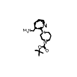 CC(C)(C)OC(=O)N1CCCN(c2ncccc2CN)CC1